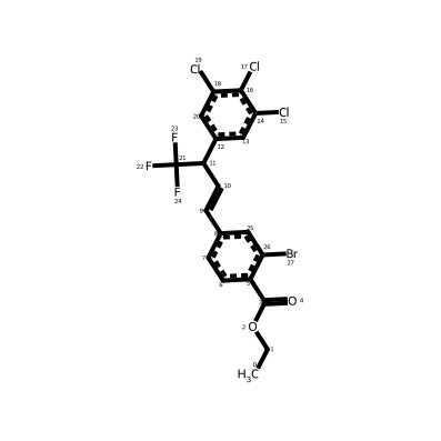 CCOC(=O)c1ccc(/C=C/C(c2cc(Cl)c(Cl)c(Cl)c2)C(F)(F)F)cc1Br